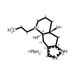 CCCN1CCC[C@@H]2Cc3[nH]ncc3C[C@H]21.[PbH2]